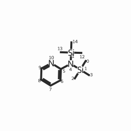 C[Si](C)(C)N(c1ccccn1)[Si](C)(C)C